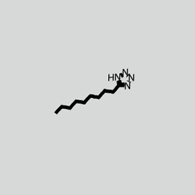 CCCCCCCCCc1nnn[nH]1